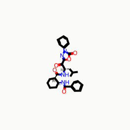 CC(C)C[C@H](NC(=O)[C@@H]1CCCC[C@@H]1NC(=O)c1ccccc1)C(=O)c1nn(-c2ccccc2)c(=O)o1